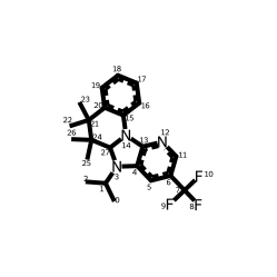 CC(C)N1c2cc(C(F)(F)F)cnc2N2c3ccccc3C(C)(C)C(C)(C)C21